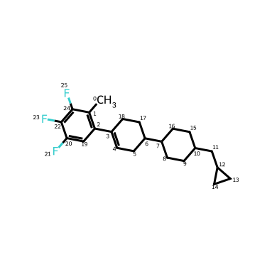 Cc1c(C2=CCC(C3CCC(CC4CC4)CC3)CC2)cc(F)c(F)c1F